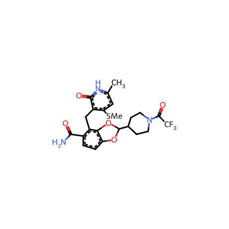 CSc1cc(C)[nH]c(=O)c1Cc1c(C(N)=O)ccc2c1OC(C1CCN(C(=O)C(F)(F)F)CC1)O2